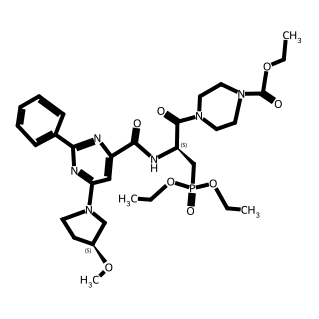 CCOC(=O)N1CCN(C(=O)[C@@H](CP(=O)(OCC)OCC)NC(=O)c2cc(N3CC[C@H](OC)C3)nc(-c3ccccc3)n2)CC1